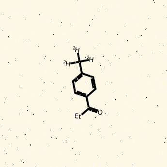 [2H]C([2H])([2H])c1ccc(C(=O)CC)cc1